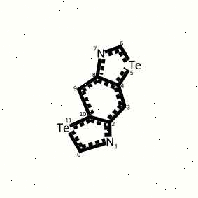 c1nc2cc3[te]cnc3cc2[te]1